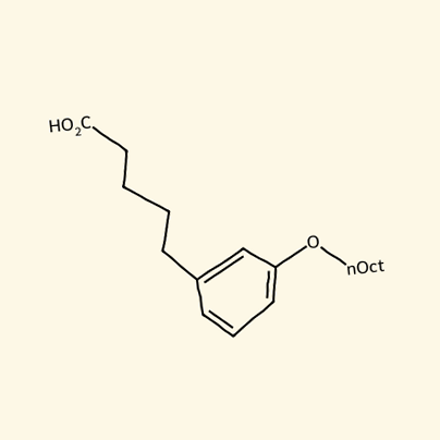 CCCCCCCCOc1cccc(CCCCC(=O)O)c1